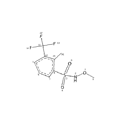 CONS(=O)(=O)c1cccc(C(F)(F)F)c1C